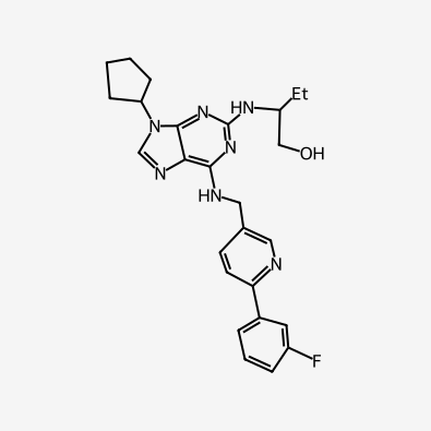 CCC(CO)Nc1nc(NCc2ccc(-c3cccc(F)c3)nc2)c2ncn(C3CCCC3)c2n1